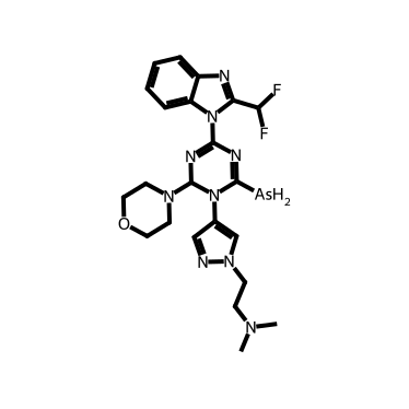 CN(C)CCn1cc(N2C([AsH2])=NC(n3c(C(F)F)nc4ccccc43)=NC2N2CCOCC2)cn1